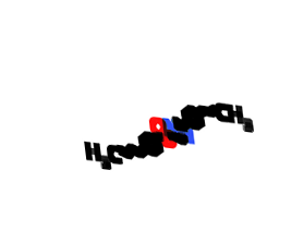 CCCCCc1ccc(C(=O)Oc2cnc(-c3ccc(CCCC)cc3)cn2)cc1